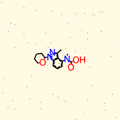 Cc1nn(C2CCCCO2)c2cccc(N(C)C(=O)O)c12